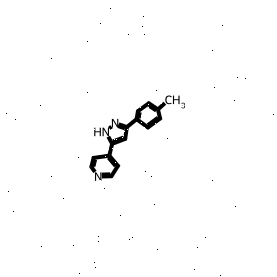 Cc1ccc(-c2cc(-c3ccncc3)[nH]n2)cc1